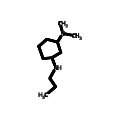 CCCNC1CCCC(N(C)C)C1